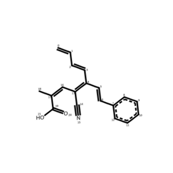 C=CC=CC(C=Cc1ccccc1)=C(C#N)C=C(C)C(=O)O